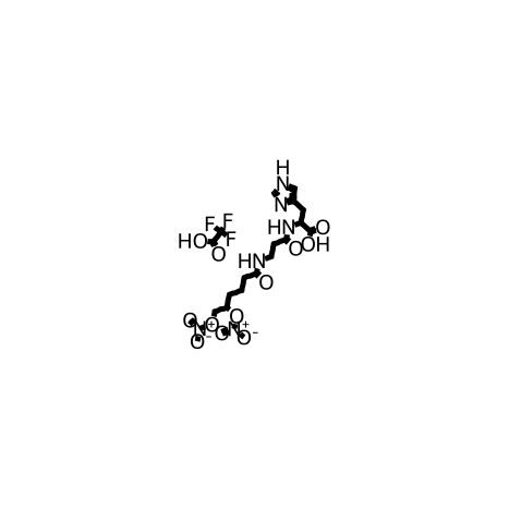 O=C(CCCC(CO[N+](=O)[O-])O[N+](=O)[O-])NCCC(=O)NC(Cc1c[nH]cn1)C(=O)O.O=C(O)C(F)(F)F